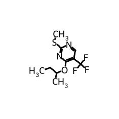 CCC(C)Oc1nc(SC)ncc1C(F)(F)F